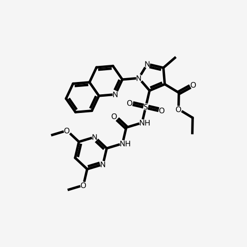 CCOC(=O)c1c(C)nn(-c2ccc3ccccc3n2)c1S(=O)(=O)NC(=O)Nc1nc(OC)cc(OC)n1